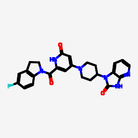 O=C(c1cc(N2CCC(n3c(=O)[nH]c4ncccc43)CC2)cc(=O)[nH]1)N1CCc2cc(F)ccc21